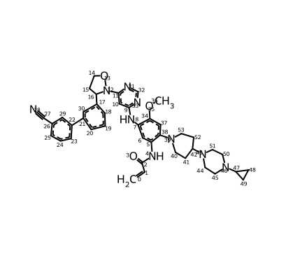 C=CC(=O)Nc1cc(Nc2cc(N3OCCC3c3cccc(-c4cccc(C#N)c4)c3)ncn2)c(OC)cc1N1CCC(N2CCN(C3CC3)CC2)CC1